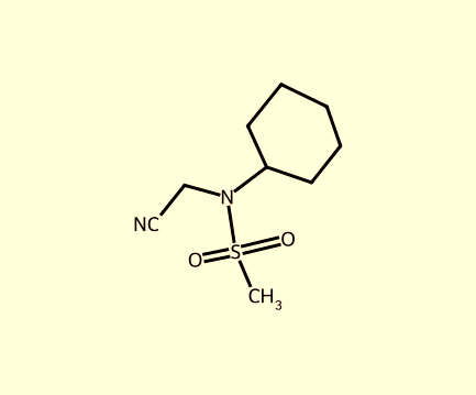 CS(=O)(=O)N(CC#N)C1CCCCC1